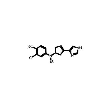 CCN(c1ccc(C#N)c(Cl)c1)C1CC=C(c2c[nH]cn2)C1